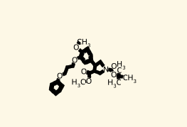 COC(=O)C1CN(C(=O)OC(C)(C)C)CC1c1ccc(OC)c(OCCCOc2ccccc2)c1